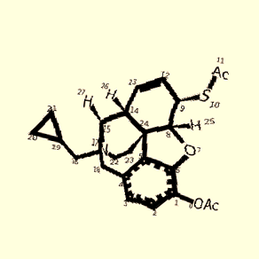 CC(=O)Oc1ccc2c3c1O[C@H]1[C@H](SC(C)=O)C=C[C@H]4[C@@H](C2)N(CC2CC2)CC[C@@]341